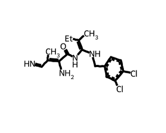 CC/C(C)=C(/NCc1ccc(Cl)c(Cl)c1)NC(=O)/C(N)=C(\C)C=N